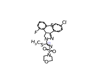 CS/C(=N\S(=O)(=O)N1CCOCC1)N1CC(c2c(F)cccc2F)C(c2ccc(Cl)cc2)=N1